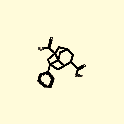 COC(=O)C12CC3CC4(C(N)=O)CC(c5ccccc5)(C1)C4(C3)C2